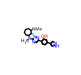 CNC1CCCC[C@H](N(C)c2ncc(-c3ccc(-c4cn[nH]c4)cc3O)nn2)[C@@H]1F